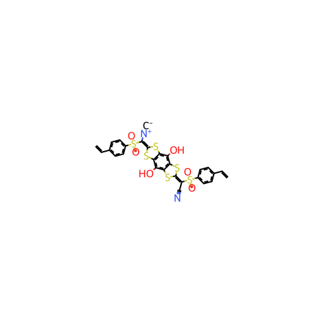 [C-]#[N+]C(=C1Sc2c(O)c3c(c(O)c2S1)SC(=C(C#N)S(=O)(=O)c1ccc(C=C)cc1)S3)S(=O)(=O)c1ccc(C=C)cc1